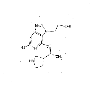 C[C@@H](Oc1nc(Cl)cc2ncn(CCO)c12)[C@@H]1CCNC1